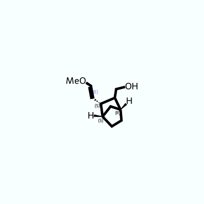 CO/C=C/[C@@H]1C(CO)[C@@H]2CC[C@H]1C2